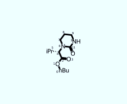 CCCCOC(=O)[C@H](C(C)C)N1CCCNC1=O